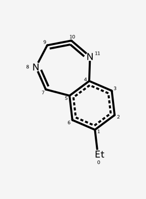 CCc1ccc2c(c1)C=NC=C=N2